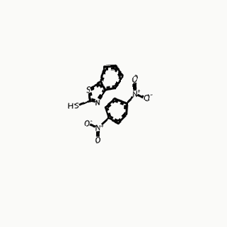 O=[N+]([O-])c1ccc([N+](=O)[O-])cc1.Sc1nc2ccccc2s1